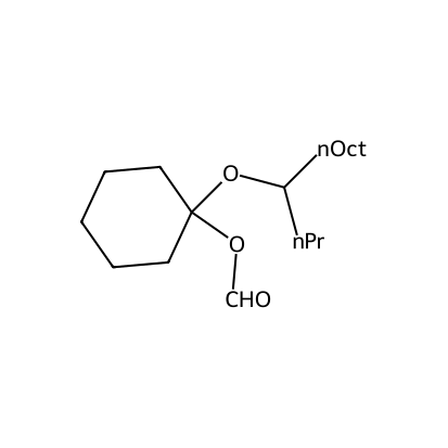 CCCCCCCCC(CCC)OC1(OC=O)CCCCC1